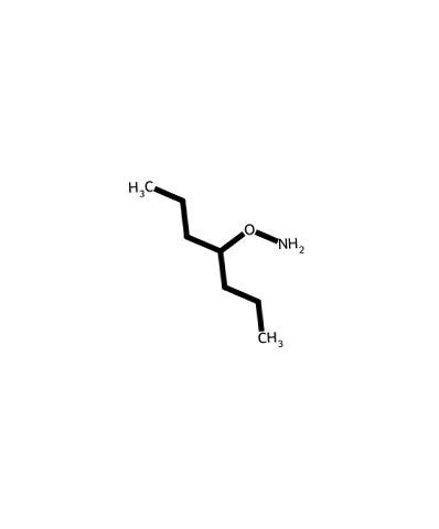 CCCC(CCC)ON